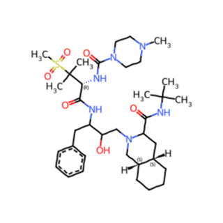 CN1CCN(C(=O)N[C@H](C(=O)NC(Cc2ccccc2)C(O)CN2C[C@H]3CCCC[C@H]3CC2C(=O)NC(C)(C)C)C(C)(C)S(C)(=O)=O)CC1